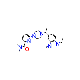 C=Nc1cc(C(C)N2CCN(c3cccc(C(=O)N(C)C)n3)CC2)ccc1/N=C\C